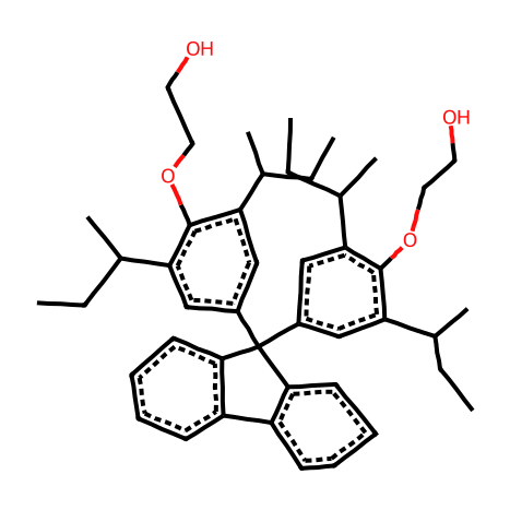 CCC(C)c1cc(C2(c3cc(C(C)CC)c(OCCO)c(C(C)CC)c3)c3ccccc3-c3ccccc32)cc(C(C)CC)c1OCCO